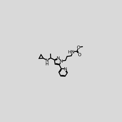 COC(=O)NCCCn1nc(C(C)NC2CC2)cc1-c1ccccn1